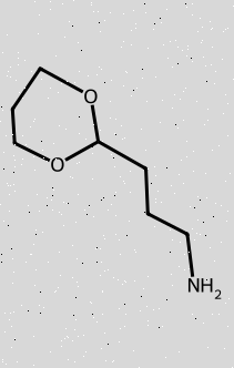 NCCCC1OCCCO1